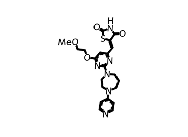 COCCOc1cc(/C=C2\SC(=O)NC2=O)nc(N2CCCN(c3ccncc3)CC2)n1